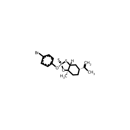 C=C(C)[C@@H]1CC[C@@]2(C)O[P@](=S)(Oc3ccc(Br)cc3)S[C@@H]2C1